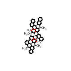 CN1c2cc3ccccc3cc2B2c3c1cc(-c1cc4ccccc4c4c1B1c5ccccc5N(C)c5cc(-c6cccc7c6B6c8ccccc8N(C)c8cc9ccccc9c(c86)N7C)cc(c51)N4C)cc3N(C)c1ccc3ccccc3c12